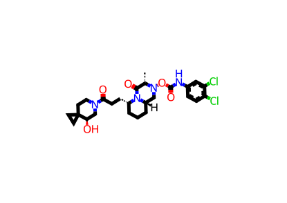 C[C@H]1C(=O)N2[C@@H](CCC(=O)N3CCC4(CC4)[C@H](O)C3)CCC[C@H]2CN1OC(=O)Nc1ccc(Cl)c(Cl)c1